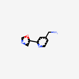 NCc1ccnc(-c2cnco2)c1